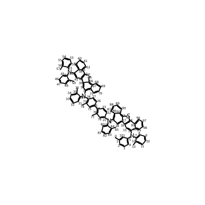 Cc1cccc(N(c2ccccc2C)c2cc3c4cc(N(c5ccc(-c6ccc(N(c7ccccc7C)c7cc8c9cc(N(c%10ccccc%10C)c%10ccccc%10C)c%10ccccc%10c9sc8c8ccccc78)c(C)c6)c(C)c5)c5ccccc5C)c5ccccc5c4sc3c3ccccc23)c1